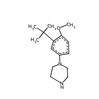 COc1ccc(N2CCNCC2)cc1C(C)(C)C